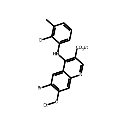 CCOC(=O)c1cnc2cc(OCC)c(Br)cc2c1Nc1cccc(C)c1Cl